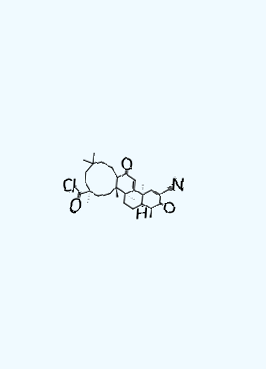 C[C@@H]1C(=O)C(C#N)=C[C@]2(C)C3=CC(=O)C4CCC(C)(C)CC[C@](C)(C(=O)Cl)CC[C@@]4(C)[C@]3(C)CC[C@@H]12